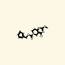 CSc1nc(Cl)c2c(n1)CCN(C(=O)OCc1ccccc1)C2